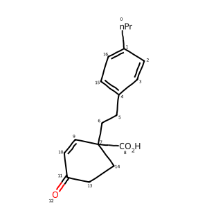 CCCc1ccc(CCC2(C(=O)O)C=CC(=O)CC2)cc1